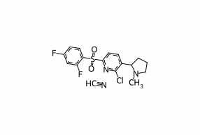 C#N.CN1CCCC1c1ccc(S(=O)(=O)c2ccc(F)cc2F)nc1Cl